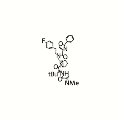 CN[C@@H](C)C(=O)N[C@H](C(=O)N1CCC[C@H]1CN(CCc1ccc(F)cc1)C(=O)c1coc(-c2ccccc2)n1)C(C)(C)C